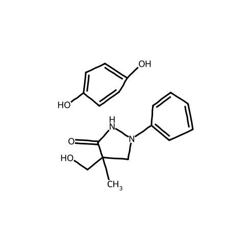 CC1(CO)CN(c2ccccc2)NC1=O.Oc1ccc(O)cc1